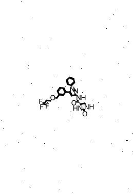 O=C1NC[C@H](C(=O)Nc2cc(-c3cccc(COCCC(F)(F)F)c3)n(-c3ccccc3)n2)N1